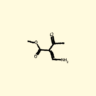 COC(=O)C(=CN)C(C)=O